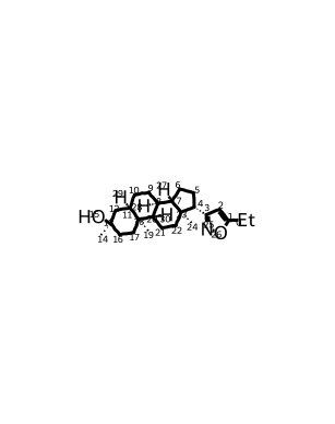 CCc1cc([C@H]2CC[C@H]3[C@@H]4CC[C@@H]5C[C@](C)(O)CC[C@]5(C)[C@H]4CC[C@]23C)no1